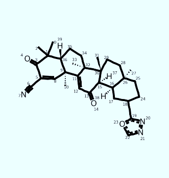 CC1(C)C(=O)C(C#N)=C[C@]2(C)C3=CC(=O)[C@@H]4[C@@H]5CC(c6nnco6)CC[C@]5(C)CC[C@@]4(C)[C@]3(C)CC[C@@H]12